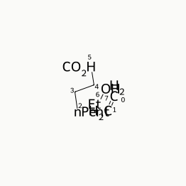 C=C.CCCCCCCC(=O)O.CCO